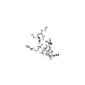 C=CCc1ccc(OCC2CN(CCCCC)CCC2c2cccc(C(F)(F)F)c2)c(OC)c1.O=C(O)C(=O)O